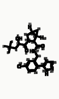 CC(C)(C)C[C@@H](O)C(=O)N1C[C@@H]2C[C@@H]2[C@H]1C(=O)NCc1cc(Cl)ccc1-c1nnn[nH]1